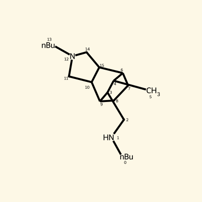 CCCCNCC1C(C)C2CCC1C1CN(CCCC)CC21